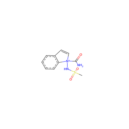 CS(=O)(=O)N[N+]1(C(N)=O)C=Cc2ccccc21